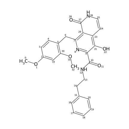 COc1ccc(Cc2nc(C(=O)NCCc3ccccc3)c(O)c3cc[nH]c(=O)c23)c(OC)c1